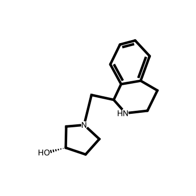 O[C@H]1CCN(CC2NCCc3ccccc32)C1